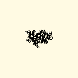 C=CC(=O)N[C@H]1COC[C@H]1Nc1ncc2cc(-c3c(Cl)c(OC)cc(OC)c3Cl)nc(NCC3CCCN3C)c2n1